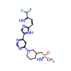 CS(=N)(=O)CC1CCCN(c2cc(-c3cnc(/C=C\C(=N)C(F)F)[nH]3)ncn2)C1